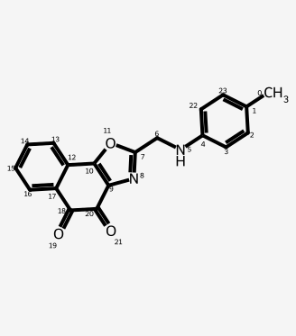 Cc1ccc(NCc2nc3c(o2)-c2ccccc2C(=O)C3=O)cc1